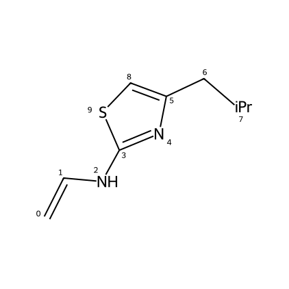 C=CNc1nc(CC(C)C)cs1